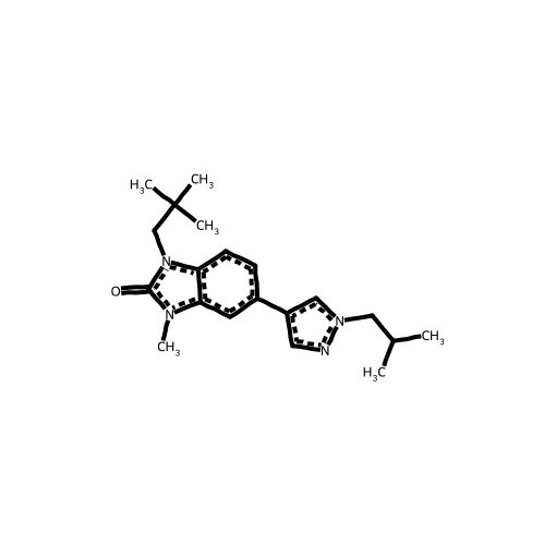 CC(C)Cn1cc(-c2ccc3c(c2)n(C)c(=O)n3CC(C)(C)C)cn1